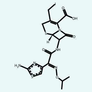 CC(C)ON=C(C(=O)NC1C(=O)N2C(C(=O)O)=C(CI)CS[C@@H]12)c1csc(N)n1